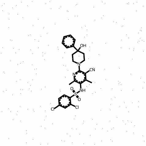 Cc1nc(N2CCC(O)(c3ccccc3)CC2)c(C#N)c(C)c1NS(=O)(=O)c1ccc(Cl)cc1Cl